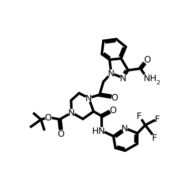 CC(C)(C)OC(=O)N1CCN(C(=O)Cn2nc(C(N)=O)c3ccccc32)C(C(=O)Nc2cccc(C(F)(F)F)n2)C1